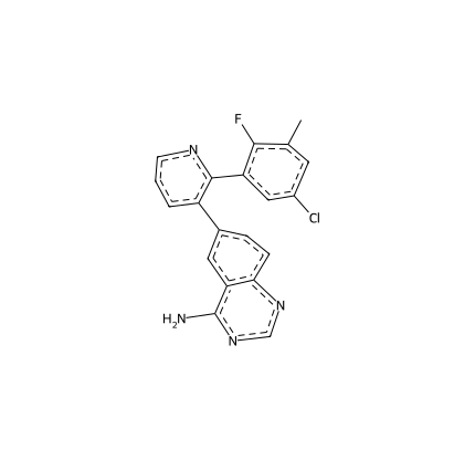 Cc1cc(Cl)cc(-c2ncccc2-c2ccc3ncnc(N)c3c2)c1F